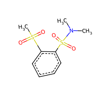 CN(C)S(=O)(=O)c1ccccc1S(C)(=O)=O